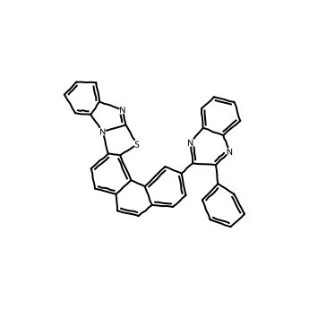 c1ccc(-c2nc3ccccc3nc2-c2ccc3ccc4ccc5c(sc6nc7ccccc7n65)c4c3c2)cc1